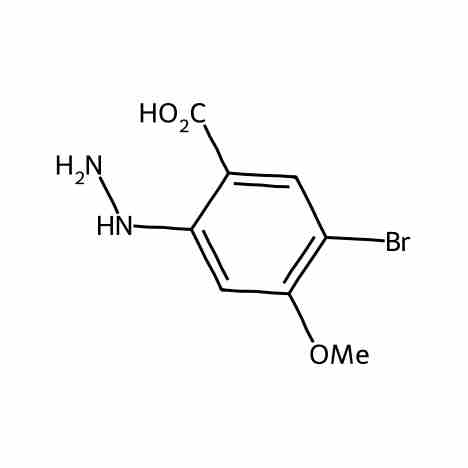 COc1cc(NN)c(C(=O)O)cc1Br